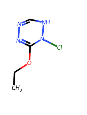 CCOC1=NN=CNN1Cl